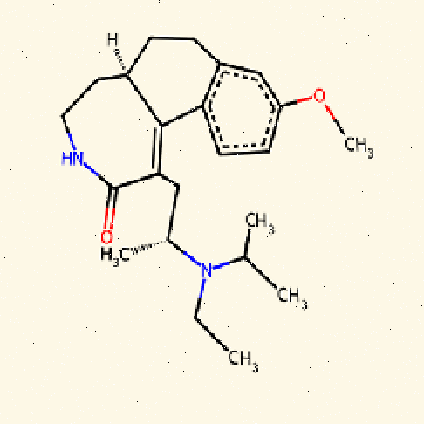 CCN(C(C)C)[C@H](C)CC1=C2c3ccc(OC)cc3CC[C@@H]2CCNC1=O